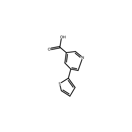 O=C(O)c1cncc(-c2cccs2)c1